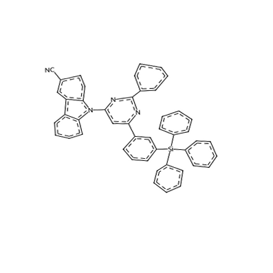 N#Cc1ccc2c(c1)c1ccccc1n2-c1cc(-c2cccc([Si](c3ccccc3)(c3ccccc3)c3ccccc3)c2)nc(-c2ccccc2)n1